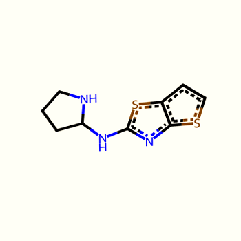 c1cc2sc(NC3CCCN3)nc2s1